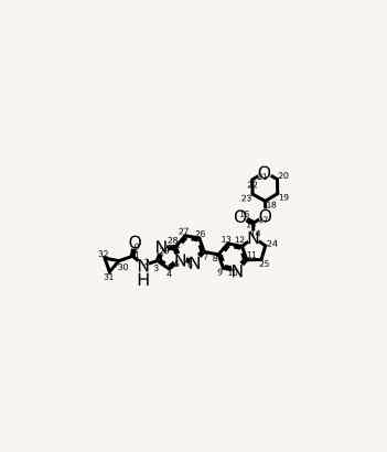 O=C(Nc1cn2nc(-c3cnc4c(c3)N(C(=O)OC3CCOCC3)CC4)ccc2n1)C1CC1